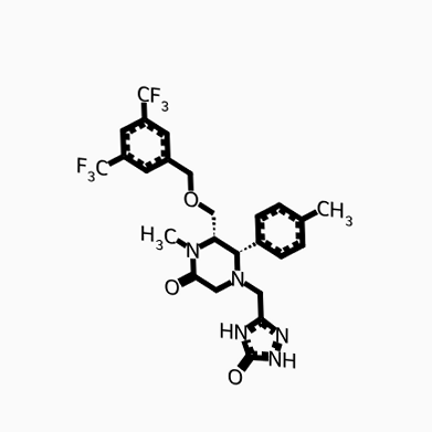 Cc1ccc([C@H]2[C@@H](COCc3cc(C(F)(F)F)cc(C(F)(F)F)c3)N(C)C(=O)CN2Cc2n[nH]c(=O)[nH]2)cc1